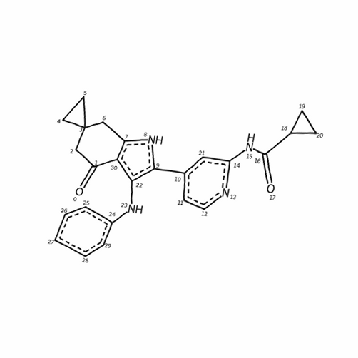 O=C1CC2(CC2)Cc2[nH]c(-c3ccnc(NC(=O)C4CC4)c3)c(Nc3ccccc3)c21